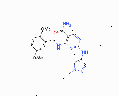 COc1ccc(OC)c(CNc2nc(Nc3cnn(C)c3)ncc2C(N)=O)c1